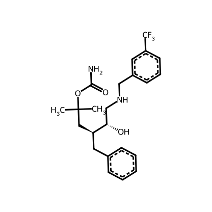 CC(C)(C[C@H](Cc1ccccc1)[C@@H](O)CNCc1cccc(C(F)(F)F)c1)OC(N)=O